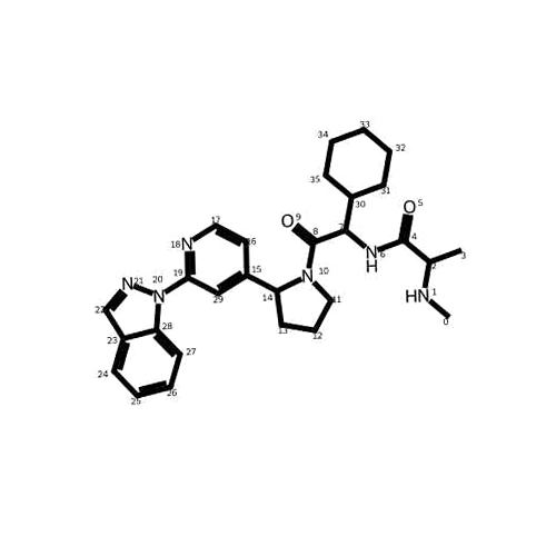 CNC(C)C(=O)NC(C(=O)N1CCCC1c1ccnc(-n2ncc3ccccc32)c1)C1CCCCC1